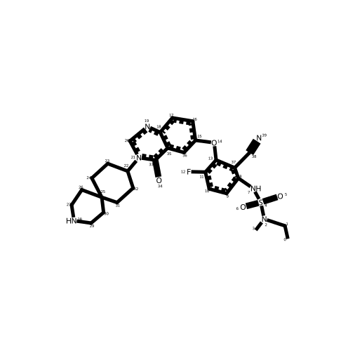 CCN(C)S(=O)(=O)Nc1ccc(F)c(Oc2ccc3ncn(C4CCC5(CCNCC5)CC4)c(=O)c3c2)c1C#N